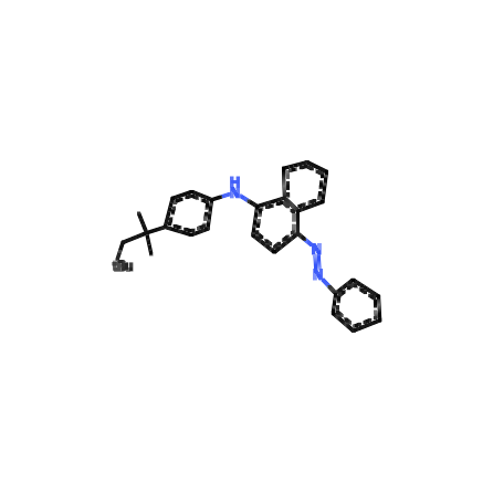 CC(C)(C)CC(C)(C)c1ccc(Nc2ccc(/N=N/c3ccccc3)c3ccccc23)cc1